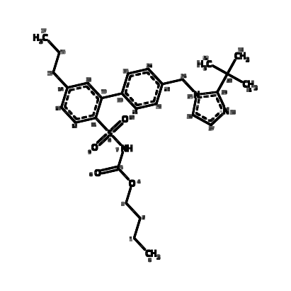 CCCCOC(=O)NS(=O)(=O)c1ccc(CCC)cc1-c1ccc(Cn2ccnc2C(C)(C)C)cc1